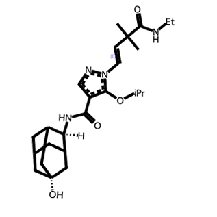 CCNC(=O)C(C)(C)/C=C/n1ncc(C(=O)N[C@H]2C3CC4CC2C[C@](O)(C4)C3)c1OC(C)C